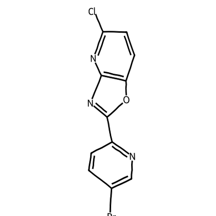 Clc1ccc2oc(-c3ccc(Br)cn3)nc2n1